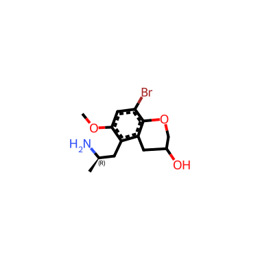 COc1cc(Br)c2c(c1C[C@@H](C)N)CC(O)CO2